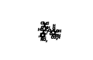 O=C(N[C@H](CO[C@@H]1O[C@H](C(=O)O)[C@@H](O)[C@H](O)[C@H]1O)[C@H](O)c1ccc([N+](=O)[O-])cc1)C(Cl)Cl